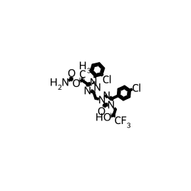 C[C@H](OC(N)=O)c1nc(Cn2nc(-c3ccc(Cl)cc3)n(C[C@H](O)C(F)(F)F)c2=O)nn1-c1ccccc1Cl